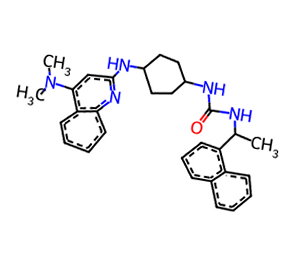 CC(NC(=O)NC1CCC(Nc2cc(N(C)C)c3ccccc3n2)CC1)c1cccc2ccccc12